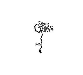 C=CCNCCCC1(OC)CCCC[Si]1(OC)OC